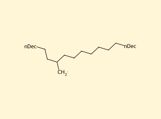 [CH2]C(CCCCCCCCCCCC)CCCCCCCCCCCCCCCCC